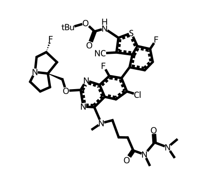 CN(C)C(=O)N(C)C(=O)CCCN(C)c1nc(OC[C@@]23CCCN2C[C@H](F)C3)nc2c(F)c(-c3ccc(F)c4sc(NC(=O)OC(C)(C)C)c(C#N)c34)c(Cl)cc12